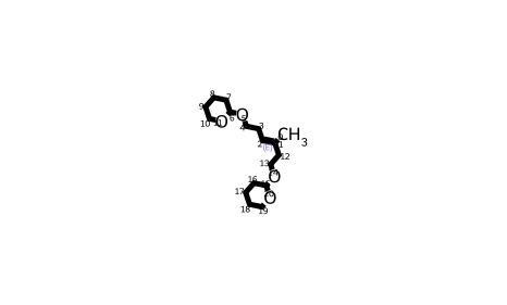 C/C(=C\CCOC1CCCCO1)CCOC1CCCCO1